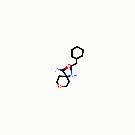 NC(=O)C1(NCCC2CCCCC2)CCOCC1